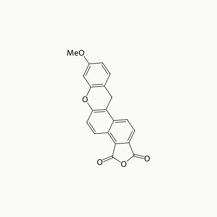 COc1ccc2c(c1)Oc1ccc3c4c(ccc3c1C2)C(=O)OC4=O